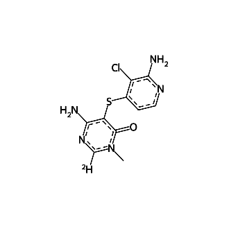 [2H]c1nc(N)c(Sc2ccnc(N)c2Cl)c(=O)n1C